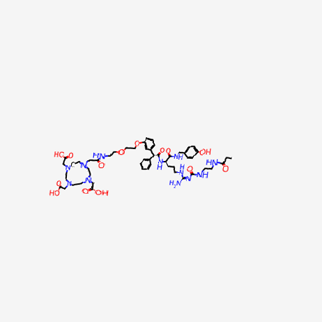 CCC(=O)NCCNC(=O)/N=C(/N)NCCC[C@@H](NC(=O)[C@H](c1ccccc1)c1cccc(OCCOCCNC(=O)CN2CCN(CC(=O)O)CCN(CC(=O)O)CCN(CC(=O)O)CC2)c1)C(=O)NCc1ccc(O)cc1